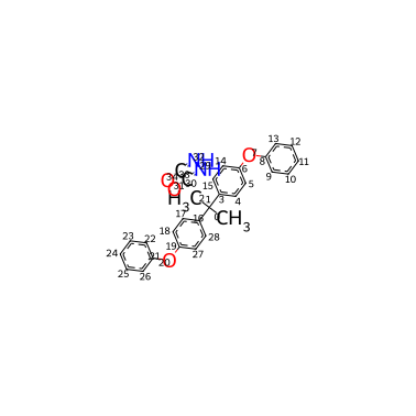 CC(C)(c1ccc(Oc2ccccc2)cc1)c1ccc(Oc2ccccc2)cc1.N=C=O.N=C=O